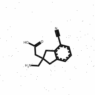 N#Cc1cccc2c1CC(CN)(CC(=O)O)C2